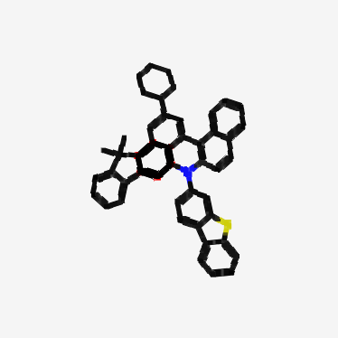 CC1(C)c2ccccc2-c2cc(N(c3ccc4c(c3)sc3ccccc34)c3ccc4ccccc4c3-c3cc(C4CCCCC4)cc4ccccc34)ccc21